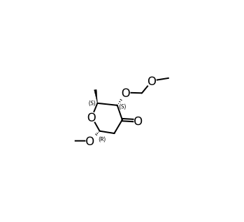 COCO[C@@H]1C(=O)C[C@H](OC)O[C@H]1C